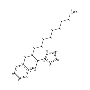 CCCCCCCCCCCCCCCCCCC(Cc1ccccc1)C(CCCCCCCCCC)n1ccnc1